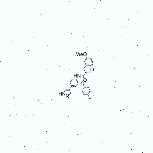 COc1ccc2c(c1)CC(C(=O)Nc1ccc(-c3cn[nH]c3)cc1Oc1ccc(F)cc1)CO2